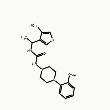 COc1ccccc1N1CCN(NC(=O)NC(C)c2cocc2C(=O)O)CC1